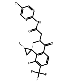 O=C(CN1C[C@@]2(C[C@@H]2F)c2c(ccc(C(F)(F)F)c2F)C1=O)Nc1ncc(Cl)cn1